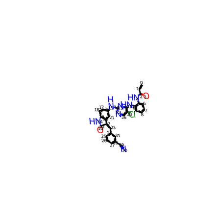 C=CC(=O)Nc1ccccc1Nc1nc(Nc2ccc3c(c2)/C(=C/c2cccc(C#N)c2)C(=O)N3)ncc1Cl